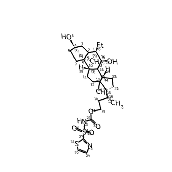 CC[C@@H]1C2C[C@H](O)CC[C@]2(C)[C@H]2CCC3(C)[C@@H]([C@H](C)CCOC(=O)NS(=O)(=O)c4nccs4)CC[C@H]3C2[C@@H]1O